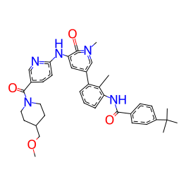 COCC1CCN(C(=O)c2ccc(Nc3cc(-c4cccc(NC(=O)c5ccc(C(C)(C)C)cc5)c4C)cn(C)c3=O)nc2)CC1